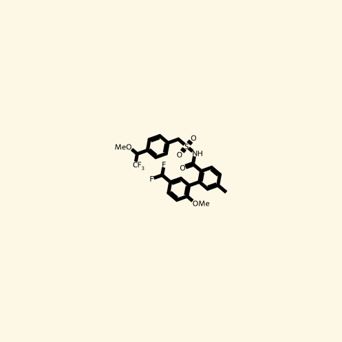 COc1ccc(C(F)F)cc1-c1cc(C)ccc1C(=O)NS(=O)(=O)Cc1ccc(C(OC)C(F)(F)F)cc1